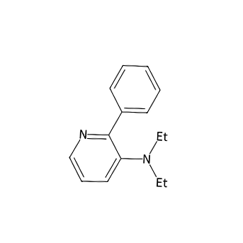 CCN(CC)c1cccnc1-c1ccccc1